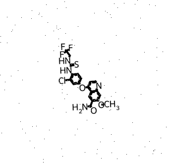 COc1cc2nccc(Oc3ccc(NC(=S)NCC(F)(F)F)c(Cl)c3)c2cc1C(N)=O